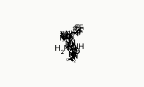 CC(C)n1ncc(C2(C)C(=O)Nc3nc(-c4nc(CCC(F)(F)C(F)(F)F)nc5c4cnn5C)nc(N)c32)n1